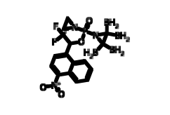 BC1(B)N(P(=O)(OC(c2ccc([N+](=O)[O-])c3ccccc23)C(F)(F)F)N2CC2)C1(B)B